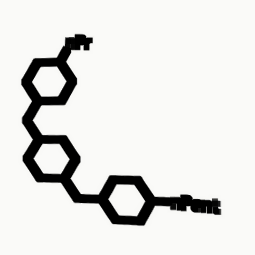 CCCCCC1CCC(CC2CCC(CC3CCC(CCC)CC3)CC2)CC1